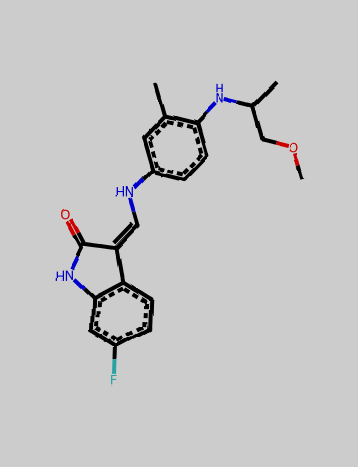 COCC(C)Nc1ccc(NC=C2C(=O)Nc3cc(F)ccc32)cc1C